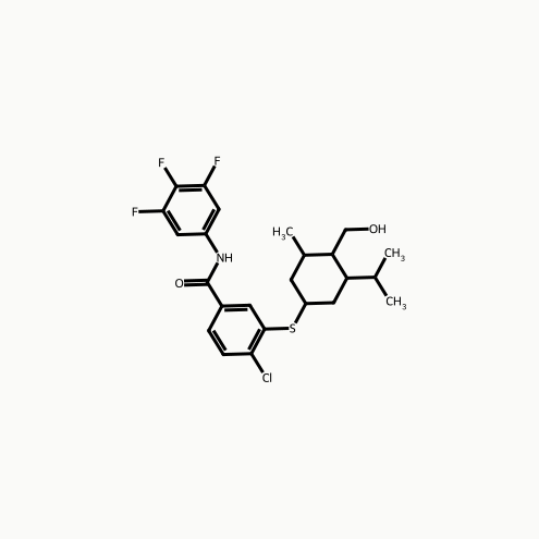 CC(C)C1CC(Sc2cc(C(=O)Nc3cc(F)c(F)c(F)c3)ccc2Cl)CC(C)C1CO